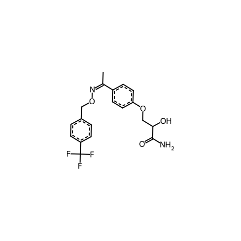 CC(=NOCc1ccc(C(F)(F)F)cc1)c1ccc(OCC(O)C(N)=O)cc1